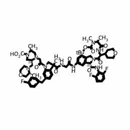 CC(C(=O)NC(C(=O)N1Cc2ccc(NC(=O)CNC(=O)C3(C)CN(C(=O)CN4C[C@@H](C)N(C(=O)O)C[C@@H]4CN4CCOC[C@H]4C)c4cc(Cc5ccc(F)cc5)ccc43)cc2[C@H]1C(=O)Nc1c(F)cccc1F)C1CCOCC1)N(C)C(=O)OC(C)(C)C